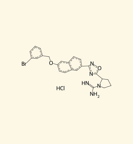 Cl.N=C(N)N1CCCC1c1nc(-c2ccc3cc(OCc4cccc(Br)c4)ccc3c2)no1